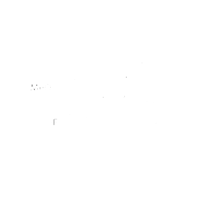 COc1ccc(-c2cccc3ccccc23)cc1F